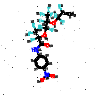 C=C(F)C(F)(F)OC(F)(C(F)(F)F)C(F)(F)OC(F)(C(=O)Nc1ccc([N+](=O)[O-])cc1)C(F)(F)F